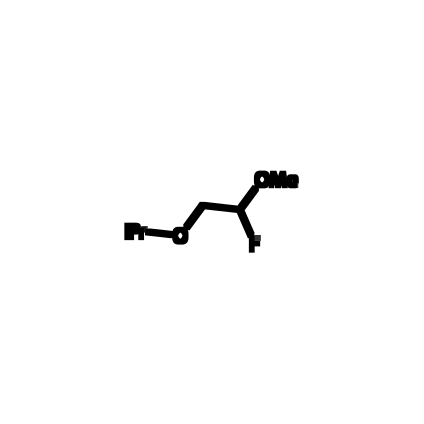 COC(F)COC(C)C